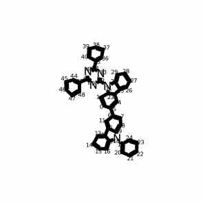 C1=CC2C(C=C1c1ccc3c(c1)c1ccccc1n3-c1ccccc1)c1ccccc1N2c1nc(-c2ccccc2)nc(-c2ccccc2)n1